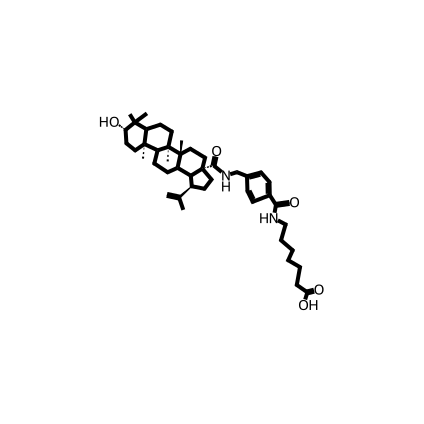 C=C(C)[C@@H]1CC[C@]2(C(=O)NCc3ccc(C(=O)NCCCCCCC(=O)O)cc3)CC[C@]3(C)C(CCC4[C@@]5(C)CC[C@H](O)C(C)(C)C5CC[C@]43C)C12